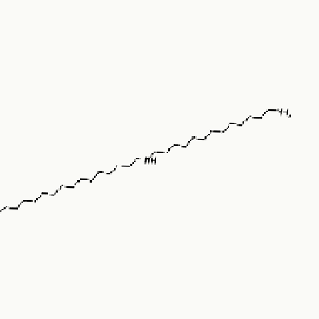 CCCCCCCCCCCCCCCCNCCCCCCCCCCCCCN